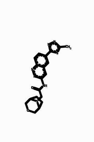 Cc1nnc(-c2ccc3nnc(NC(=O)CN4C5CCC4COC5)cc3c2)s1